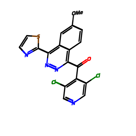 COc1ccc2c(C(=O)c3c(Cl)cncc3Cl)nnc(-c3nccs3)c2c1